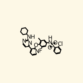 Cc1cc(NS(=O)(=O)c2ccccc2Cl)cc(F)c1Oc1ncccc1-c1ccnc(NC2CCCCC2)n1